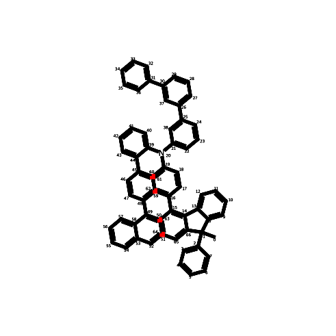 CC1(c2ccccc2)c2ccccc2-c2c(-c3ccc(N(c4cccc(-c5cccc(-c6ccccc6)c5)c4)c4ccccc4-c4ccc(-c5cccc6ccccc56)cc4)cc3)cccc21